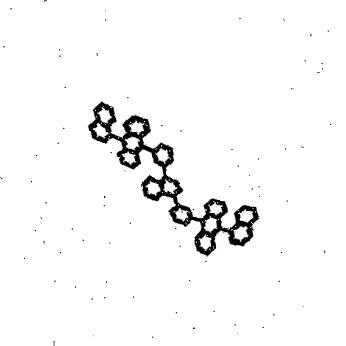 c1cc(-c2ccc(-c3cccc(-c4c5ccccc5c(-c5cccc6ccccc56)c5ccccc45)c3)c3ccccc23)cc(-c2c3ccccc3c(-c3cccc4ccccc34)c3ccccc23)c1